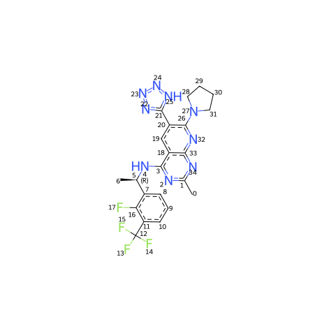 Cc1nc(N[C@H](C)c2cccc(C(F)(F)F)c2F)c2cc(-c3nnn[nH]3)c(N3CCCC3)nc2n1